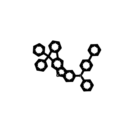 c1ccc(-c2ccc(N(c3ccccc3)c3ccc4oc5cc6c(cc5c4c3)-c3ccccc3C6(c3ccccc3)c3ccccc3)cc2)cc1